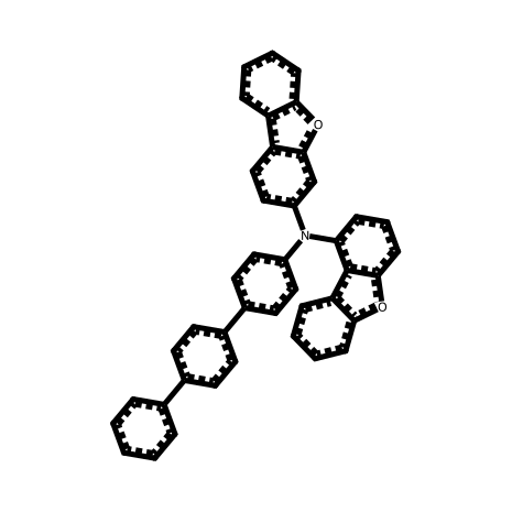 c1ccc(-c2ccc(-c3ccc(N(c4ccc5c(c4)oc4ccccc45)c4cccc5oc6ccccc6c45)cc3)cc2)cc1